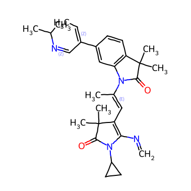 C=NC1=C(/C=C(\C)N2C(=O)C(C)(C)c3ccc(C(/C=N\C(C)C)=C/C)cc32)C(C)(C)C(=O)N1C1CC1